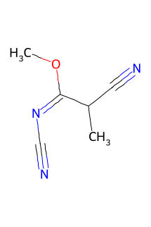 COC(=NC#N)C(C)C#N